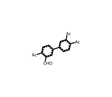 CC(=O)c1ccc(-c2ccc(C(C)=O)c(C(C)=O)c2)cc1C=O